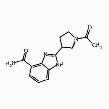 CC(=O)N1CCC(c2nc3c(C(N)=O)cccc3[nH]2)C1